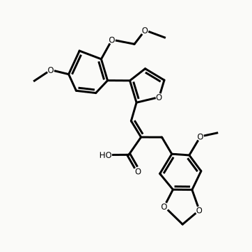 COCOc1cc(OC)ccc1-c1ccoc1/C=C(\Cc1cc2c(cc1OC)OCO2)C(=O)O